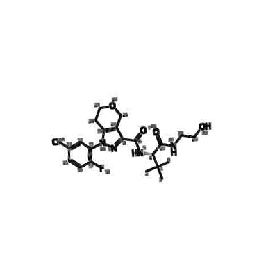 CC(C)(C)[C@H](NC(=O)c1nn(-c2cc(Cl)ccc2F)c2c1COCC2)C(=O)NCCO